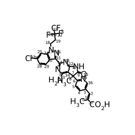 CC(=Cc1ccc(C2(C)C(=O)Nc3nc(-c4nn(CCC(F)(F)C(F)(F)F)c5cc(Cl)ccc45)nc(N)c32)nc1)C(=O)O